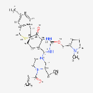 C=CC(=O)N1CCN(C2NC(OCC3CCCN3C)NC3C(=O)[C@@]4(CCC32)Cc2ccc(C)cc2CS4)CC1CC#N